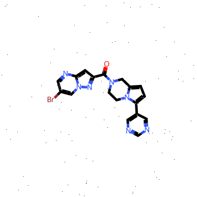 O=C(c1cc2ncc(Br)cn2n1)N1CCn2c(ccc2-c2cncnc2)C1